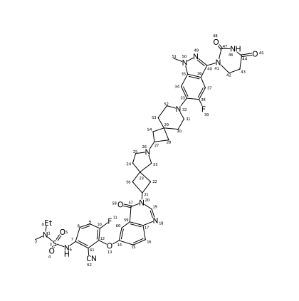 CCN(C)S(=O)(=O)Nc1ccc(F)c(Oc2ccc3ncn(C4CC5(CCN(C6CC7(CCN(c8cc9c(cc8F)c(N8CCC(=O)NC8=O)nn9C)CC7)C6)C5)C4)c(=O)c3c2)c1C#N